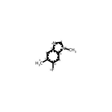 Cc1cc2ncn(C)c2cc1F